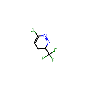 FC(F)(F)C1CC=C(Cl)N=N1